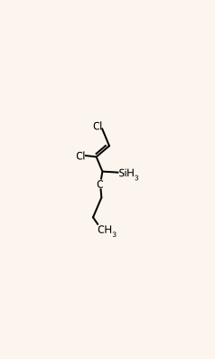 CCCCC([SiH3])C(Cl)=CCl